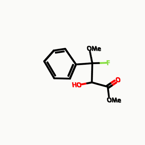 COC(=O)C(O)C(F)(OC)c1ccccc1